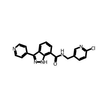 O=C(NCc1ccc(Cl)nc1)c1cccc2c(-c3ccncc3)n[nH]c12